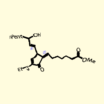 CCCCCC(O)/C=C/C1C=C(SCC)C(=O)/C1=C\CCCCCC(=O)OC